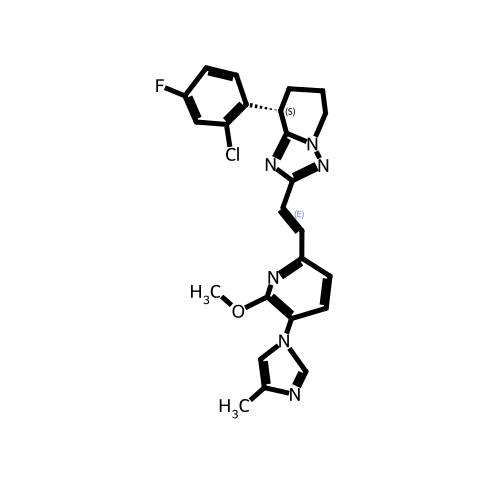 COc1nc(/C=C/c2nc3n(n2)CCC[C@H]3c2ccc(F)cc2Cl)ccc1-n1cnc(C)c1